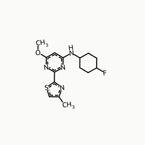 COc1cc(NC2CCC(F)CC2)nc(-c2nc(C)cs2)n1